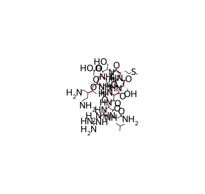 CSCC[C@H](NC(=O)[C@H](CO)NC(=O)[C@H](CCCNC(=N)N)NC(=O)[C@H](CC(C)C)NC(=O)[C@@H](C)CCCCN)C(=O)N[C@H](C(=O)N[C@@H](CC(=O)O)C(=O)N[C@@H](CCCCN)C(=O)N[C@@H](Cc1ccc2ccccc2c1)C(=O)N[C@@H](CCCNC(=N)N)C(=O)N[C@@H](CC(C)C)C(N)=O)[C@@H](C)O